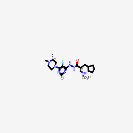 C[C@@H]1CN(c2nc(Cl)nc(NNC(=O)[C@@H](CNC(=O)O)CC3CCCC3)c2F)CCN1C